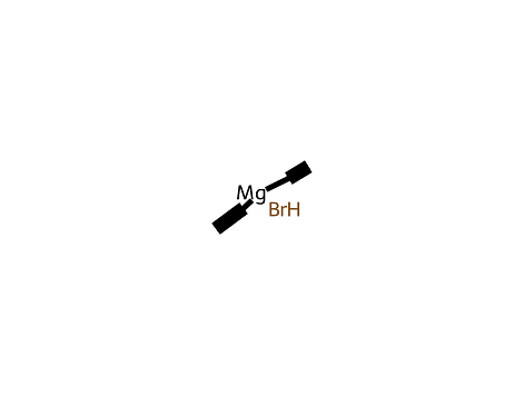 Br.C#[C][Mg][C]#C